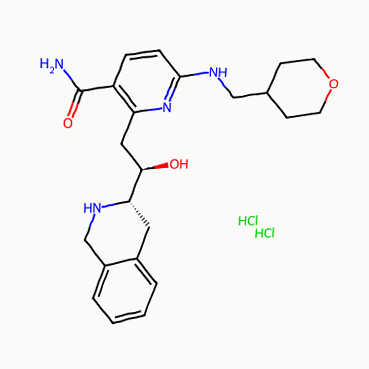 Cl.Cl.NC(=O)c1ccc(NCC2CCOCC2)nc1C[C@@H](O)[C@@H]1Cc2ccccc2CN1